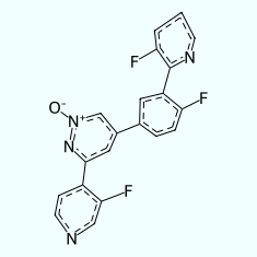 [O-][n+]1cc(-c2ccc(F)c(-c3ncccc3F)c2)cc(-c2ccncc2F)n1